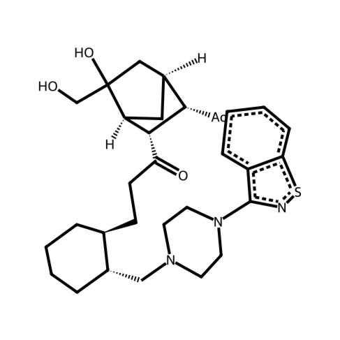 CC(=O)[C@H]1[C@H]2C[C@@H]([C@H]1C(=O)CC[C@@H]1CCCC[C@H]1CN1CCN(c3nsc4ccccc34)CC1)C(O)(CO)C2